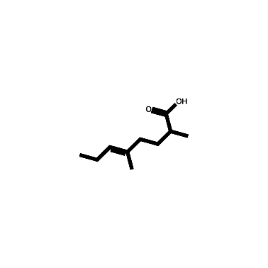 CC/C=C(\C)CCC(C)C(=O)O